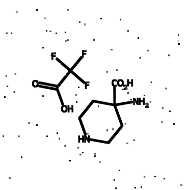 NC1(C(=O)O)CCNCC1.O=C(O)C(F)(F)F